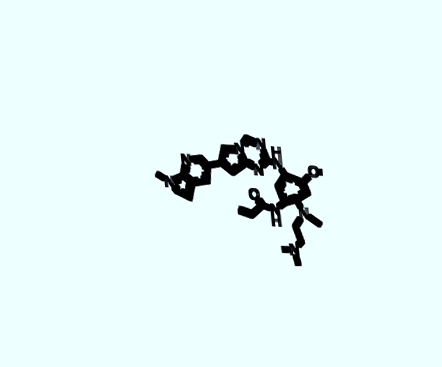 C=CC(=O)Nc1cc(Nc2ncn3cc(-c4cnc5c(ccn5C)c4)cc3n2)c(OC)cc1N(C)CCN(C)C